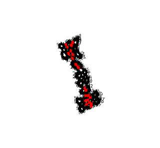 c1ccc2c(c1)-c1ccccc1C21c2ccccc2-c2ccc(-c3ccc(-c4ccc5c(c4)C4(c6cc(-c7ccc(-c8ccc9c(c8)C8(c%10ccccc%10-c%10ccccc%108)c8ccccc8-9)cc7)ccc6-5)c5cc(-c6ccc(-c7ccc8c(c7)C7(c9ccccc9-c9ccccc97)c7ccccc7-8)cc6)ccc5-c5ccc(-c6ccc(-c7ccc8c(c7)C7(c9ccccc9-c9ccccc97)c7ccccc7-8)cc6)cc54)cc3)cc21